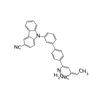 C=N/C(=C\C(C#N)=C/C)c1ccc(-c2cccc(-n3c4ccccc4c4cc(C#N)ccc43)c2)cc1